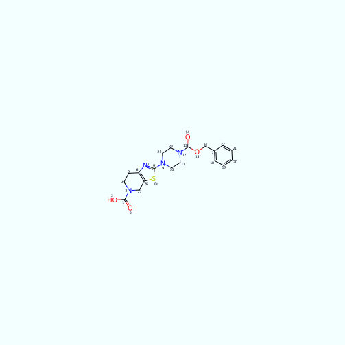 O=C(O)N1CCc2nc(N3CCN(C(=O)OCc4ccccc4)CC3)sc2C1